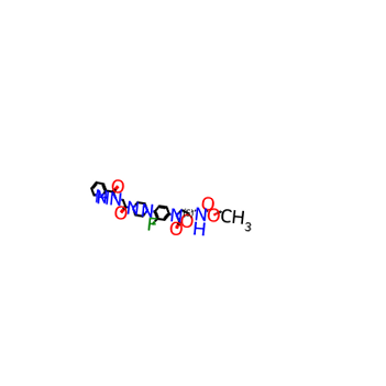 CCOC(=O)NC[C@H]1CN(c2ccc(N3CCN(C(=O)CNC(=O)c4ccccn4)CC3)c(F)c2)C(=O)O1